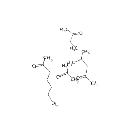 CC(=O)CC(C)C.CC(C)=O.CCC(C)=O.CCCCCC(C)=O